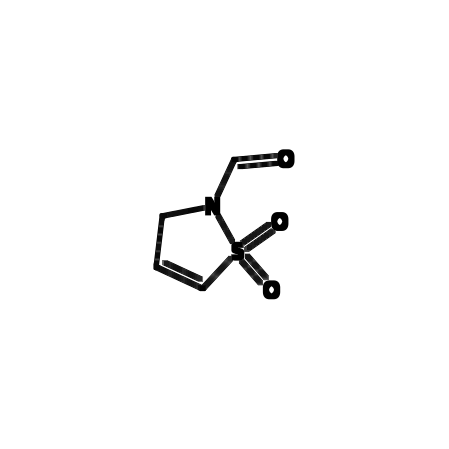 O=CN1CC=CS1(=O)=O